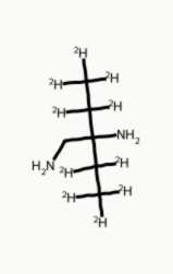 [2H]C([2H])([2H])C([2H])([2H])C(N)(CN)C([2H])([2H])C([2H])([2H])[2H]